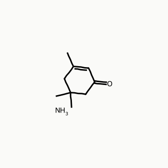 CC1=CC(=O)CC(C)(C)C1.N